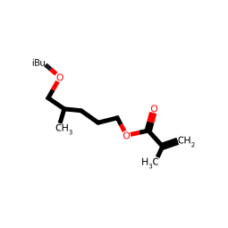 C=C(C)C(=O)OCCCC(C)COC(C)CC